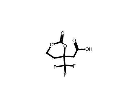 O=C(O)CC1(C(F)(F)F)CCOC(=O)O1